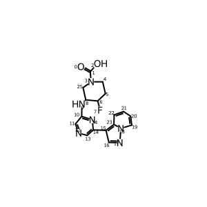 O=C(O)N1CCC(F)C(Nc2cncc(-c3cnn4ccccc34)n2)C1